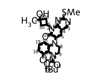 CSc1ncc2cc(N3CCN(C(=O)OC(C)(C)C)c4c(C)cccc43)c(=O)n(C3CC(C)(O)C3)c2n1